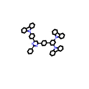 c1ccc(-c2nc(-c3ccc(-c4cc(-n5c6ccccc6c6ccccc65)cc(-n5c6ccccc6c6ccccc65)c4)cc3)cc(-c3ccc(-n4c5ccccc5c5ccccc54)cc3)n2)cc1